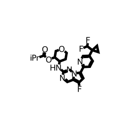 CC(C)C(=O)OC1COCCC1Nc1ncc2c(F)cc(-c3ccc(C4(C(F)F)CC4)cn3)n2n1